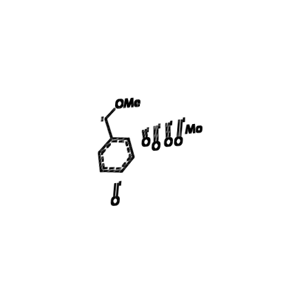 CO[C]c1ccccc1.[C]=O.[C]=O.[C]=O.[C]=O.[C]=O.[Mo]